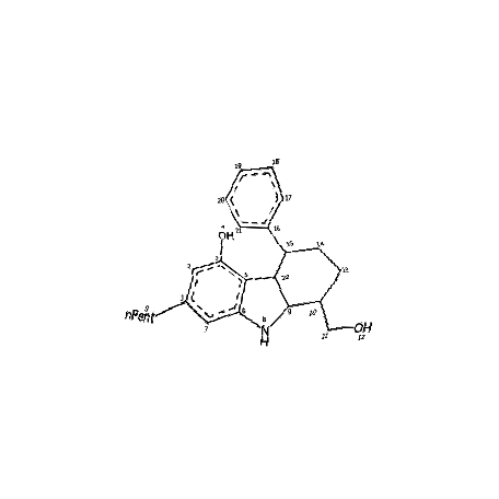 CCCCCc1cc(O)c2c(c1)NC1C(CO)CCC(c3ccccc3)C21